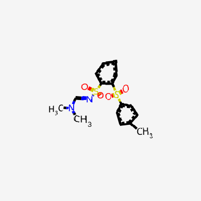 Cc1ccc(S(=O)(=O)c2ccccc2S(=O)(=O)N=CN(C)C)cc1